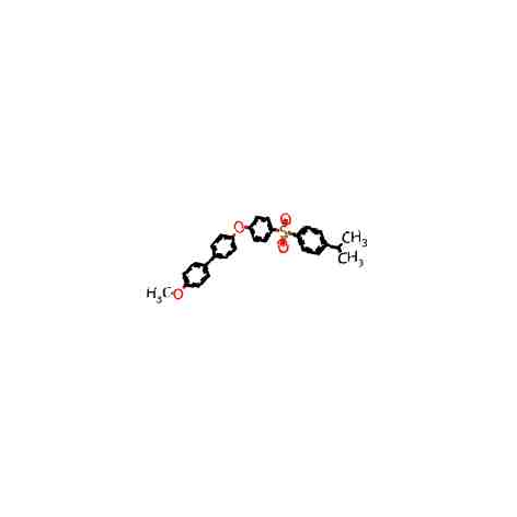 COc1ccc(-c2ccc(Oc3ccc(S(=O)(=O)c4ccc(C(C)C)cc4)cc3)cc2)cc1